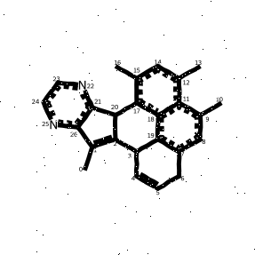 CC1=C2C3C=CCc4cc(C)c5c(C)cc(C)c(c5c43)C2c2nccnc21